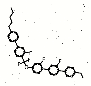 CCCCCc1ccc(-c2ccc(C(F)(F)Oc3ccc(-c4ccc(-c5ccc(CC)cc5)c(F)c4)c(F)c3)c(F)c2)cc1